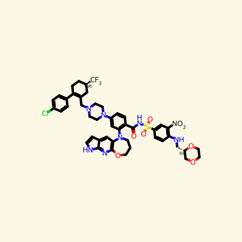 O=C(NS(=O)(=O)c1ccc(NC[C@H]2COCCO2)c([N+](=O)[O-])c1)c1ccc(N2CCN(CC3=C(c4ccc(Cl)cc4)CC[C@@H](C(F)(F)F)C3)CC2)cc1N1CCCOc2nc3[nH]ccc3cc21